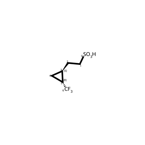 O=S(=O)(O)CC[C@@H]1C[C@H]1C(F)(F)F